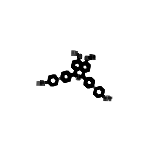 CCC[C@H]1CC[C@H](c2ccc(C(SC(c3ccc(OCC)cc3)c3ccc([C@H]4CC[C@H](CCC)CC4)cc3)c3ccc(OCC)cc3)cc2)CC1